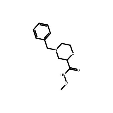 CONC(=O)C1CN(Cc2ccccc2)CCO1